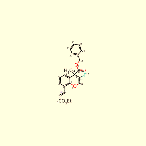 CCOC(=O)/C=C/c1cccc2c1OC=C(F)C2(C)C(=O)OCc1ccccc1